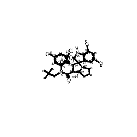 CC(C)(C)CN(C(=O)C1[C@@H](C(=O)O)C2(C(=O)Nc3c(Cl)cc(Cl)cc32)N2CCC[C@@H]12)c1cc(Cl)cc(Cl)c1